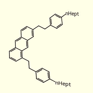 CCCCCCCc1ccc(CCc2ccc3cc4cccc(CCc5ccc(CCCCCCC)cc5)c4cc3c2)cc1